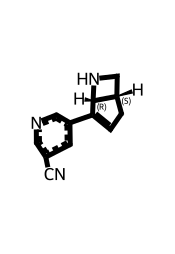 N#Cc1cncc(C2=CC[C@H]3CN[C@@H]23)c1